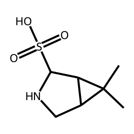 CC1(C)C2CNC(S(=O)(=O)O)C21